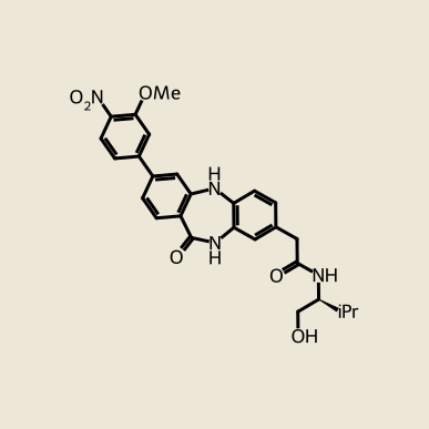 COc1cc(-c2ccc3c(c2)Nc2ccc(CC(=O)N[C@H](CO)C(C)C)cc2NC3=O)ccc1[N+](=O)[O-]